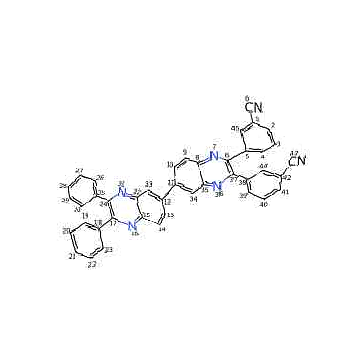 N#Cc1cccc(-c2nc3ccc(-c4ccc5nc(-c6ccccc6)c(-c6ccccc6)nc5c4)cc3nc2-c2cccc(C#N)c2)c1